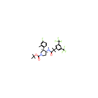 Cc1cc(F)ccc1[C@@H]1CN(C(=O)OC(C)(C)C)CC[C@@H]1N(C)C(=O)C(C)(C)c1cc(C(F)(F)F)cc(C(F)(F)F)c1